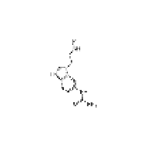 CC(C)NCCc1c[nH]c2ccc(NC(N)=O)cc12